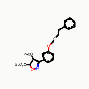 CCOC(=O)C1ON=C(c2cccc(OCCCCc3ccccc3)c2)C1OC